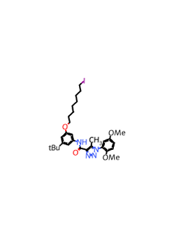 COc1ccc(OC)c(-n2nnc(C(=O)Nc3cc(OCCCCCCCCI)cc(C(C)(C)C)c3)c2C)c1